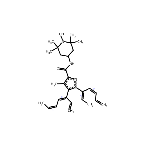 C=C/C=C\C(=C/C)n1nc(C(=O)NC2CC(C)(C)N(O)C(C)(C)C2)c(C)c1/C(C=C)=C/C=C\C